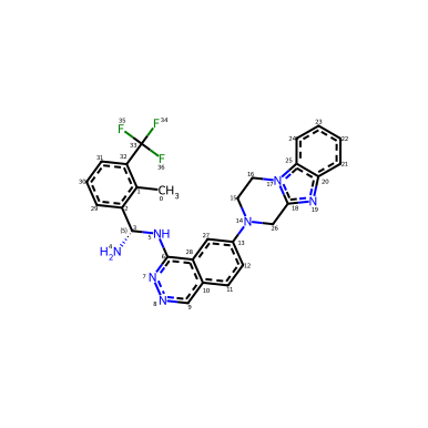 Cc1c([C@@H](N)Nc2nncc3ccc(N4CCn5c(nc6ccccc65)C4)cc23)cccc1C(F)(F)F